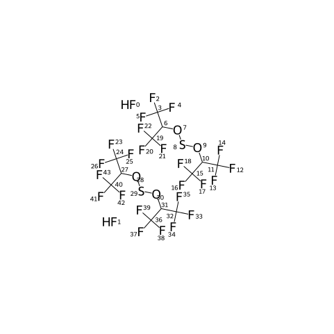 F.F.FC(F)(F)C(OSOC(C(F)(F)F)C(F)(F)F)C(F)(F)F.FC(F)(F)C(OSOC(C(F)(F)F)C(F)(F)F)C(F)(F)F